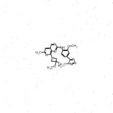 COc1cc(-c2nnnn2C)ccc1Nc1ncc2cc(C)nc(N3CC(C)(OC)C3)c2n1